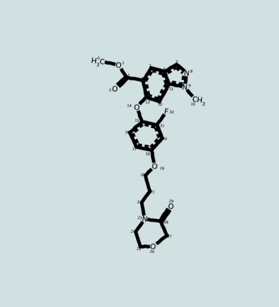 COC(=O)c1cc2cnn(C)c2cc1Oc1ccc(OCCCN2CCOCC2=O)cc1F